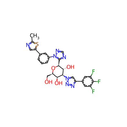 Cc1ncc(-c2cccc(-n3ncnc3[C@@H]3O[C@H](CO)[C@H](O)[C@H](n4cc(-c5cc(F)c(F)c(F)c5)nn4)[C@H]3O)c2)s1